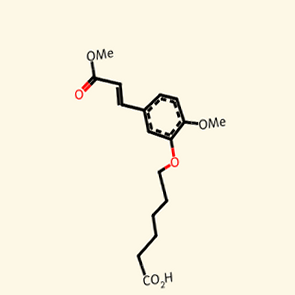 COC(=O)/C=C/c1ccc(OC)c(OCCCCCC(=O)O)c1